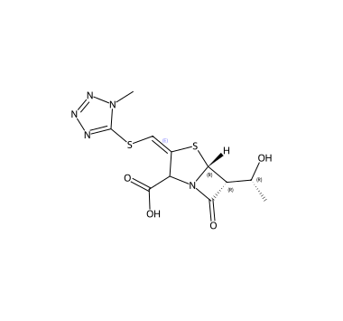 C[C@@H](O)[C@@H]1C(=O)N2C(C(=O)O)/C(=C\Sc3nnnn3C)S[C@H]12